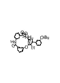 CCc1c2nc(nc1-c1cccc(OCC(C)C)c1)NS(=O)(=O)c1cccc(c1)NC(=O)c1cccc(c1)O2